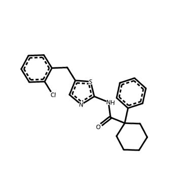 O=C(Nc1ncc(Cc2ccccc2Cl)s1)C1(c2ccccc2)CCCCC1